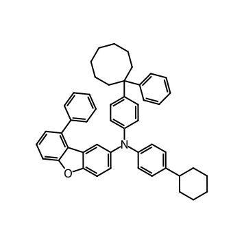 c1ccc(-c2cccc3oc4ccc(N(c5ccc(C6CCCCC6)cc5)c5ccc(C6(c7ccccc7)CCCCCCC6)cc5)cc4c23)cc1